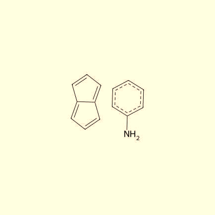 C1=CC2=CC=CC2=C1.Nc1ccccc1